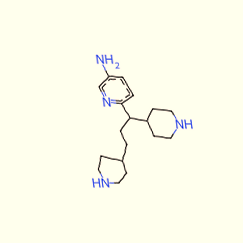 Nc1ccc(C(CCC2CCNCC2)C2CCNCC2)nc1